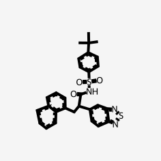 CC(C)(C)c1ccc(S(=O)(=O)NC(=O)C(Cc2cccc3ccccc23)c2ccc3nsnc3c2)cc1